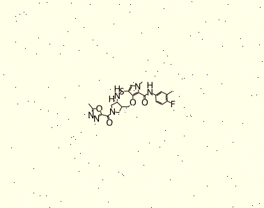 Cc1nnc(C(=O)N2C[C@H]3NSc4cn(C)c(C(=O)Nc5ccc(F)c(C)c5)c4OC[C@@]3(C)C2)o1